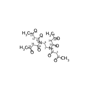 CC(=O)CC(=O)N(CCN(C(=O)CC(C)=O)C(=O)CC(C)=O)C(=O)CC(C)=O